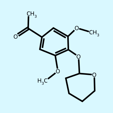 COc1cc(C(C)=O)cc(OC)c1OC1CCCCO1